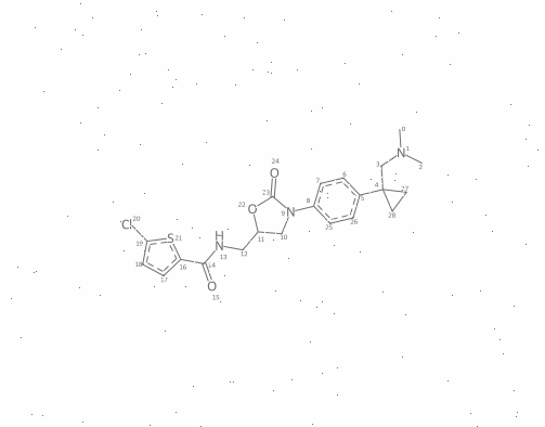 CN(C)CC1(c2ccc(N3CC(CNC(=O)c4ccc(Cl)s4)OC3=O)cc2)CC1